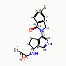 CCC1OC1N[C@@H]1CCc2c1cncc2N1Cc2cc(Cl)ccc2C1=O